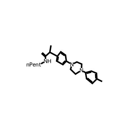 C=C(NCCCCC)C(C)c1ccc(N2CCN(c3ccc(C)cc3)CC2)cc1